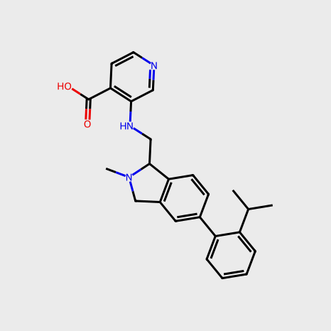 CC(C)c1ccccc1-c1ccc2c(c1)CN(C)C2CNc1cnccc1C(=O)O